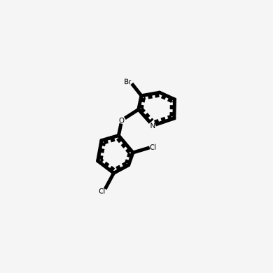 Clc1ccc(Oc2ncccc2Br)c(Cl)c1